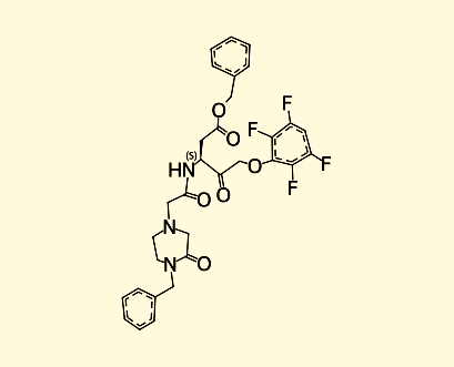 O=C(CN1CCN(Cc2ccccc2)C(=O)C1)N[C@@H](CC(=O)OCc1ccccc1)C(=O)COc1c(F)c(F)cc(F)c1F